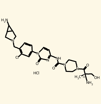 C[C@](N)(CO)C(=O)N1CCN(C(=O)Nc2ccn(-c3ccc(CN4CC5C(N)C5C4)c(Cl)c3)c(=O)n2)CC1.Cl